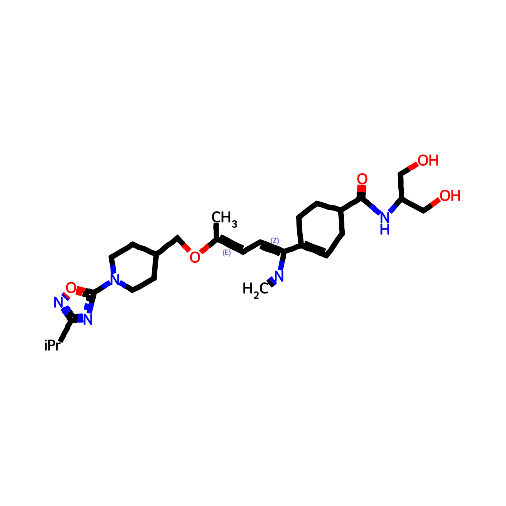 C=N/C(=C\C=C(/C)OCC1CCN(c2nc(C(C)C)no2)CC1)C1=CCC(C(=O)NC(CO)CO)CC1